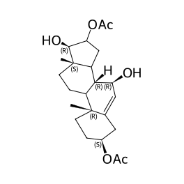 CC(=O)OC1CC2[C@H]3C(CC[C@]2(C)[C@H]1O)[C@@]1(C)CC[C@H](OC(C)=O)CC1=C[C@@H]3O